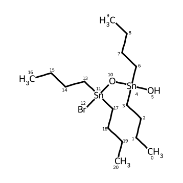 CCC[CH2][Sn]([OH])([CH2]CCC)[O][Sn]([Br])([CH2]CCC)[CH2]CCC